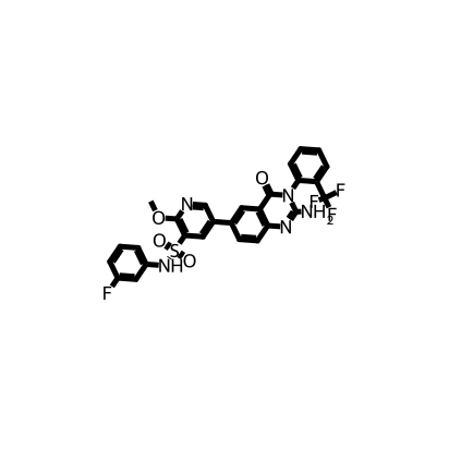 COc1ncc(-c2ccc3nc(N)n(-c4ccccc4C(F)(F)F)c(=O)c3c2)cc1S(=O)(=O)Nc1cccc(F)c1